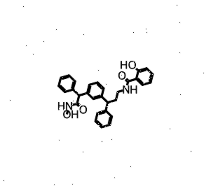 O=C(NCCC(c1ccccc1)c1cccc(C(C(=O)NO)c2ccccc2)c1)c1ccccc1O